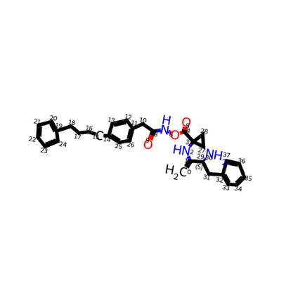 C=C(NC1(C(=O)ONC(=O)Cc2ccc(CCCCc3ccccc3)cc2)CC1)[C@@H](N)Cc1ccccc1